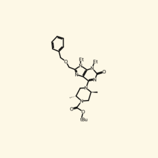 CCn1c(COCc2ccccc2)nc2c(N3C[C@@H](C)N(C(=O)OC(C)(C)C)C[C@@H]3C)nc(=O)n(CC)c21